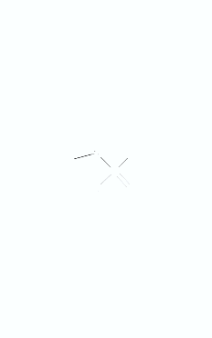 NP(N)(=S)NCl